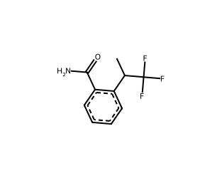 CC(c1ccccc1C(N)=O)C(F)(F)F